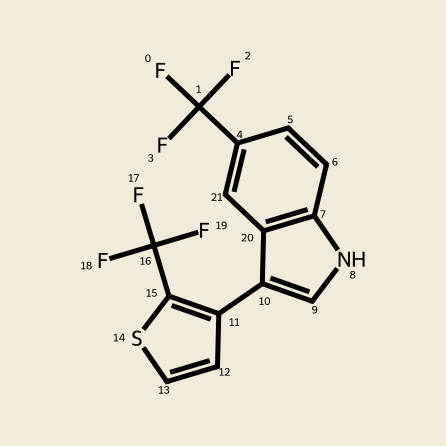 FC(F)(F)c1ccc2[nH]cc(-c3ccsc3C(F)(F)F)c2c1